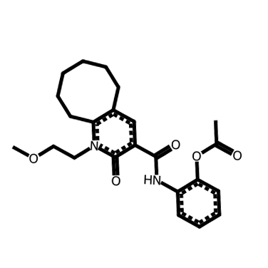 COCCn1c2c(cc(C(=O)Nc3ccccc3OC(C)=O)c1=O)CCCCCC2